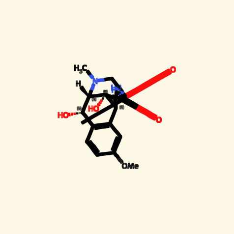 COc1ccc2c(c1)[C@@]13CCN(C)[C@@H]([C@H]2O)[C@@]1(O)CCCNC(=O)NC(=O)C3